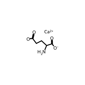 NC(CCC(=O)[O-])C(=O)[O-].[Ca+2]